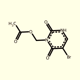 CC(=O)OCn1c(=O)[nH]cc(Br)c1=O